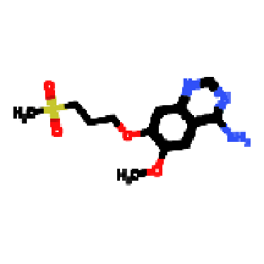 COc1cc2c(N)ncnc2cc1OCCCS(C)(=O)=O